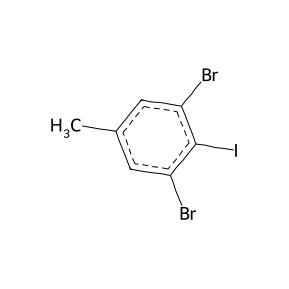 Cc1cc(Br)c(I)c(Br)c1